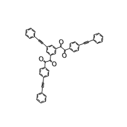 O=C(C(=O)c1cc(C#Cc2ccccc2)cc(C(=O)C(=O)c2ccc(C#Cc3ccccc3)cc2)c1)c1ccc(C#Cc2ccccc2)cc1